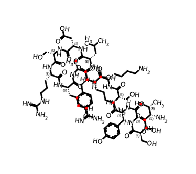 CC(C)C[C@H](NC(=O)[C@H](Cc1ccc(O)cc1)NC(=O)[C@H](CCCCN)NC(=O)[C@H](CO)NC(=O)[C@H](Cc1ccc(O)cc1)NC(=O)[C@H](CC(=O)O)NC(=O)[C@H](CO)NC(=O)[C@@H](N)[C@@H](C)O)C(=O)N[C@@H](CC(=O)O)C(=O)N[C@@H](CO)C(=O)N[C@@H](CCCNC(=N)N)C(=O)N[C@@H](CCCNC(=N)N)C(=O)N[C@@H](C)C(=O)N[C@@H](CCCCN)C(=O)O